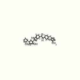 COc1ncccc1-c1ccc(O)c(-c2nc3cc(C(=O)Nc4ccc(Cc5nnc(C)[nH]5)cc4)ccc3[nH]2)c1